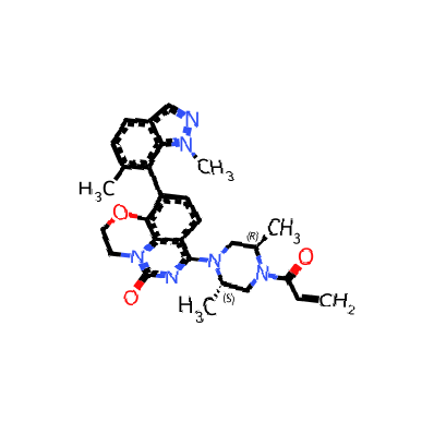 C=CC(=O)N1C[C@H](C)N(c2nc(=O)n3c4c(c(-c5c(C)ccc6cnn(C)c56)ccc24)OCC3)C[C@H]1C